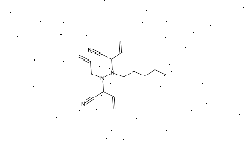 C=CCN(C(C#N)C=C)N(CCCCC)C(C#N)C=C